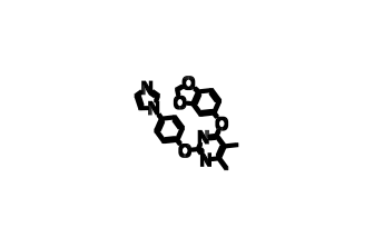 Cc1nc(Oc2ccc(-n3ccnc3)cc2)nc(Oc2ccc3c(c2)OCO3)c1C